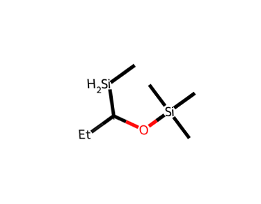 CC[C](O[Si](C)(C)C)[SiH2]C